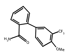 COc1ccc(-c2ccccc2C(N)=O)cc1C(F)(F)F